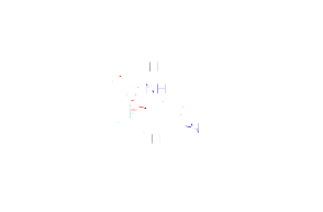 CO[C@@H](C)C(=O)N[C@@H](CCC(=O)C=N)C(=O)O[C@@H](C)C(F)(F)F